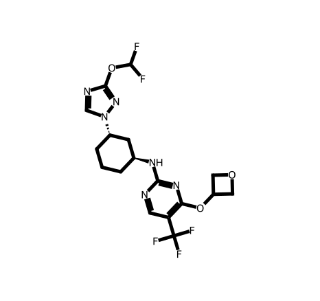 FC(F)Oc1ncn([C@H]2CCC[C@H](Nc3ncc(C(F)(F)F)c(OC4COC4)n3)C2)n1